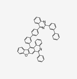 c1ccc(-c2cccc(-c3nc(-c4ccc(-c5cccc(-c6c7c(cc8c(-c9ccccc9)nc9ccccc9c68)oc6ccccc67)c5)cc4)c4ccccc4n3)c2)cc1